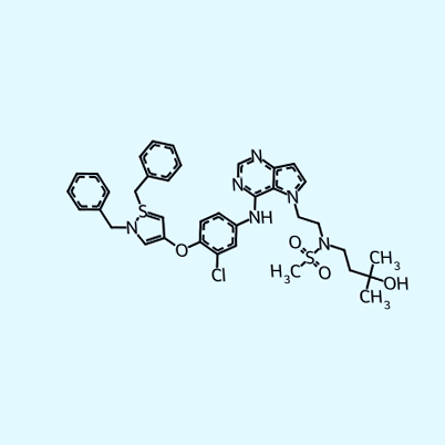 CC(C)(O)CCN(CCn1ccc2ncnc(Nc3ccc(OC4=CN(Cc5ccccc5)S(Cc5ccccc5)=C4)c(Cl)c3)c21)S(C)(=O)=O